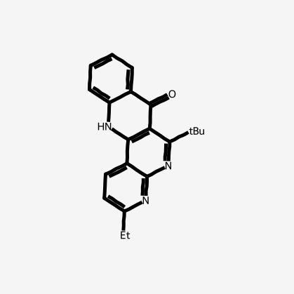 CCc1ccc2c(n1)nc(C(C)(C)C)c1c(=O)c3ccccc3[nH]c12